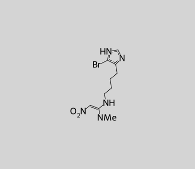 CNC(=C[N+](=O)[O-])NCCCCc1nc[nH]c1Br